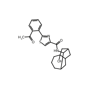 CC(=O)c1ccccc1-c1nc(C(=O)NC2C3CCCC4(O)CC2CC4C3)cs1